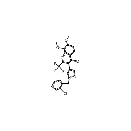 COc1ccc2c(=O)c(-c3cnn(Cc4ccccc4Cl)c3)c(C(F)(F)F)oc2c1OC